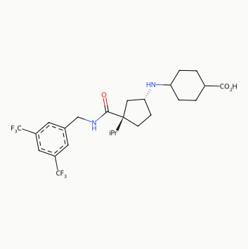 CC(C)[C@]1(C(=O)NCc2cc(C(F)(F)F)cc(C(F)(F)F)c2)CC[C@@H](NC2CCC(C(=O)O)CC2)C1